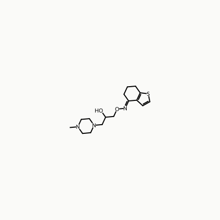 CN1CCN(CC(O)CO/N=C2\CCCc3sccc32)CC1